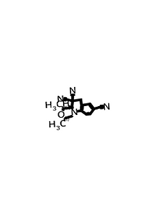 C[C@H]1CN2c3ccc(C#N)cc3CC(C#N)(C#N)[C@H]2[C@@H](C)O1